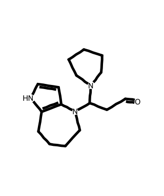 O=CCC(N1CCCCC1)N1CCCCc2[nH]ccc21